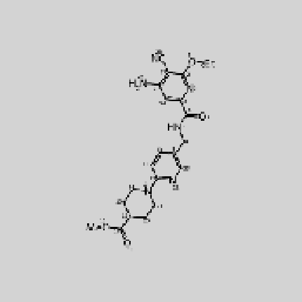 CCOc1nc(C(=O)NCc2ccc(N3CCC(C(=O)OC)CC3)nc2)cc(N)c1C#N